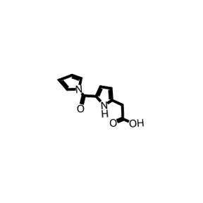 O=C(O)Cc1ccc(C(=O)n2cccc2)[nH]1